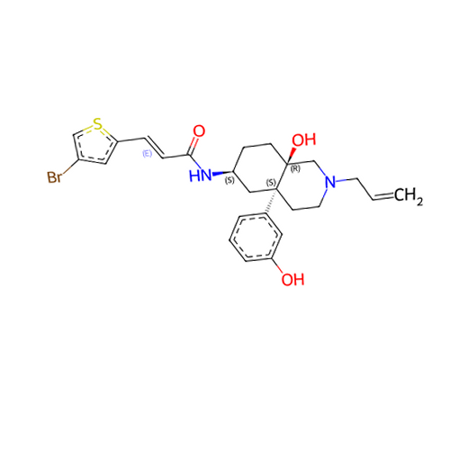 C=CCN1CC[C@@]2(c3cccc(O)c3)C[C@@H](NC(=O)/C=C/c3cc(Br)cs3)CC[C@]2(O)C1